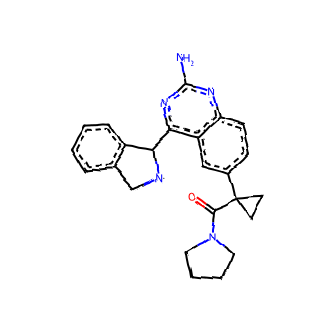 Nc1nc(C2[N]Cc3ccccc32)c2cc(C3(C(=O)N4CCCC4)CC3)ccc2n1